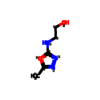 Cc1nnc(NCCO)o1